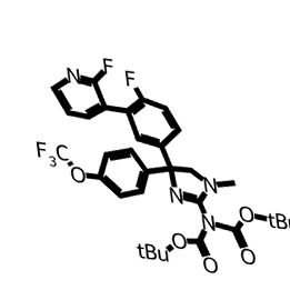 CN1CC(c2ccc(OC(F)(F)F)cc2)(c2ccc(F)c(-c3cccnc3F)c2)N=C1N(C(=O)OC(C)(C)C)C(=O)OC(C)(C)C